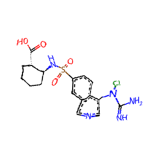 N=C(N)N(Cl)c1cncc2cc(S(=O)(=O)N[C@H]3CCCC[C@@H]3C(=O)O)ccc12